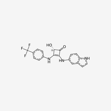 O=C1C(Nc2ccc3[nH]ccc3c2)=C(Nc2ccc(C(F)(F)F)cc2)[C@@H]1O